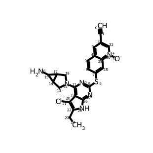 C#Cc1cc2ccc(Sc3nc(N4CC5C(N)C5C4)c4c(Cl)c(CC)[nH]c4n3)cc2[n+]([O-])c1